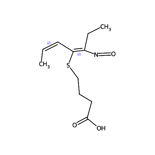 C/C=C\C(SCCCC(=O)O)=C(/CC)N=O